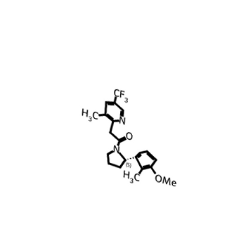 COc1cccc([C@@H]2CCCN2C(=O)Cc2ncc(C(F)(F)F)cc2C)c1C